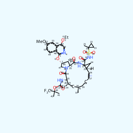 CCOc1cnc(O[C@@H]2C[C@H]3C(=O)N[C@]4(C(=O)NS(=O)(=O)C5(C)CC5)C[C@H]4/C=C\CC[C@@H](C)C[C@@H](CC)[C@H](NC(=O)OC(C)(C)C(F)(F)F)C(=O)N3C2)c2ccc(OC)cc12